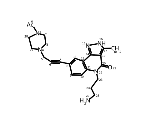 CC(=O)N1CCN(CC#Cc2ccc3c(c2)c2n[nH]c(C)c2c(=O)n3CCCN)CC1